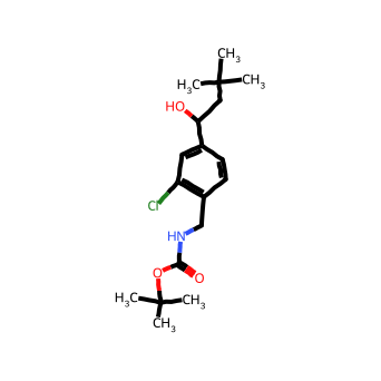 CC(C)(C)CC(O)c1ccc(CNC(=O)OC(C)(C)C)c(Cl)c1